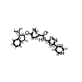 CN(C)[C@@H]1c2ccccc2C[C@H]1Oc1ccc(C(=O)Nc2nnc(-c3ccncc3)s2)cn1